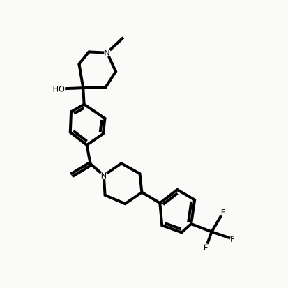 C=C(c1ccc(C2(O)CCN(C)CC2)cc1)N1CCC(c2ccc(C(F)(F)F)cc2)CC1